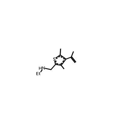 C=C(C)c1c(C)sc(CNCC)c1C